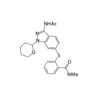 CNC(=O)c1ccccc1Sc1ccc2c(NC(C)=O)nn(C3CCCCO3)c2c1